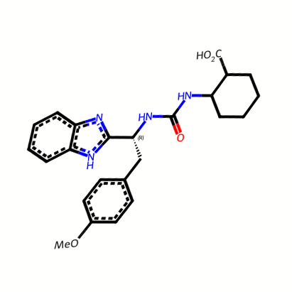 COc1ccc(C[C@@H](NC(=O)NC2CCCCC2C(=O)O)c2nc3ccccc3[nH]2)cc1